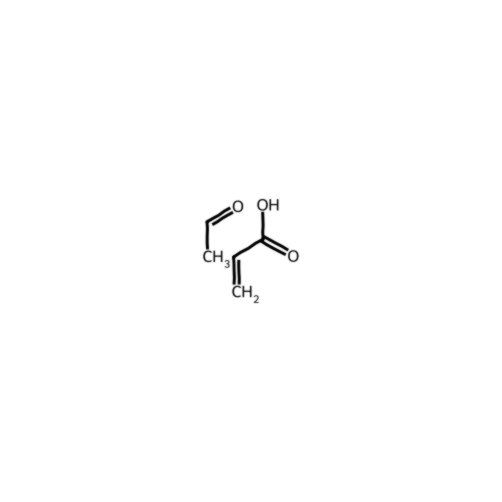 C=CC(=O)O.CC=O